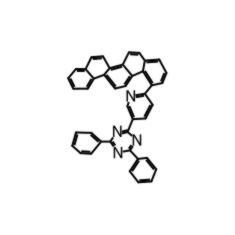 c1ccc(-c2nc(-c3ccccc3)nc(-c3ccc(-c4cccc5ccc6c7ccc8ccccc8c7ccc6c45)nc3)n2)cc1